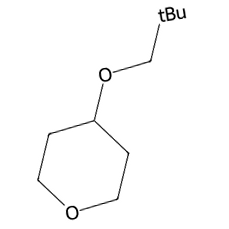 CC(C)(C)COC1CCOCC1